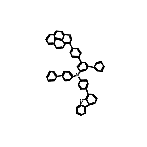 c1ccc(-c2ccc(N(c3ccc(-c4cccc5c4oc4ccccc45)cc3)c3cc(-c4ccccc4)cc(-c4ccc(-c5ccc6ccc7cccc8ccc5c6c78)cc4)c3)cc2)cc1